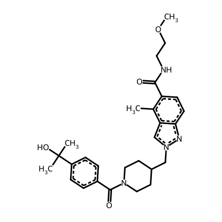 COCCNC(=O)c1ccc2nn(CC3CCN(C(=O)c4ccc(C(C)(C)O)cc4)CC3)cc2c1C